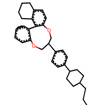 CCCC1CCC(c2ccc(C3COc4ccc5c(c4-c4c(ccc6c4CCCC6)OC3)CCCC5)cc2)CC1